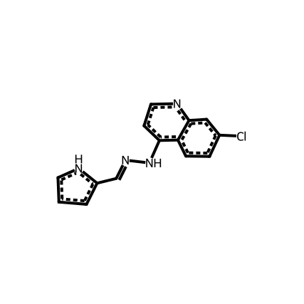 Clc1ccc2c(NN=Cc3ccc[nH]3)ccnc2c1